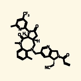 C=CC(=O)N1Cc2ncc(CN3C[C@H]4CC(=O)N(c5cc(C(F)(F)F)cc(C)n5)[C@@H]4C(=O)N(C)c4cccc(C)c43)cc2[C@H]1CC#N